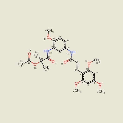 COc1cc(OC)c(C=CC(=O)Nc2ccc(OC)c(NC(=O)C(C)(C)OC(C)=O)c2)c(OC)c1